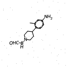 Cc1cc(N)ccc1C1CCN(BC=O)CC1